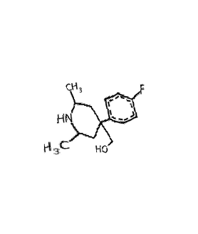 CC1CC(CO)(c2ccc(F)cc2)CC(C)N1